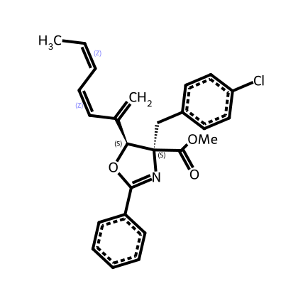 C=C(/C=C\C=C/C)[C@@H]1OC(c2ccccc2)=N[C@]1(Cc1ccc(Cl)cc1)C(=O)OC